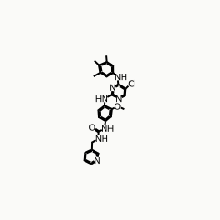 COc1cc(NC(=O)NCc2cccnc2)ccc1Nc1ncc(Cl)c(Nc2cc(C)c(C)c(C)c2)n1